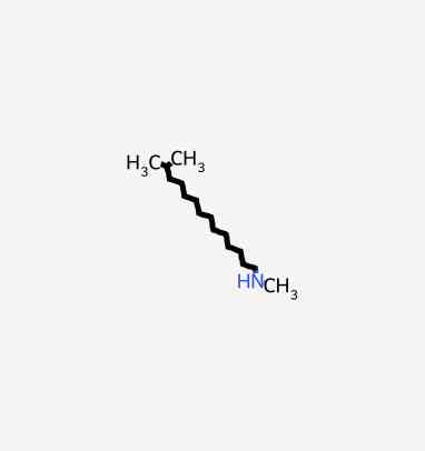 CNCCCCCCCCCCCCC(C)C